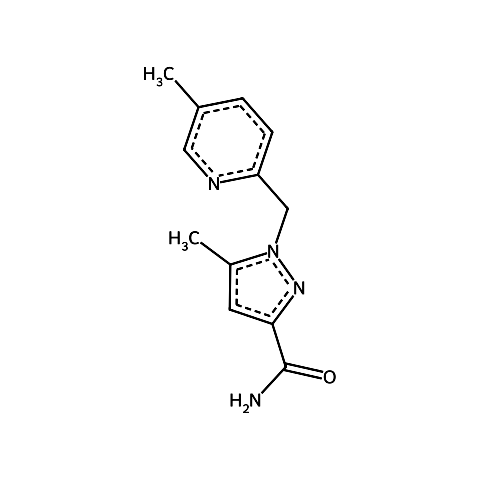 Cc1ccc(Cn2nc(C(N)=O)cc2C)nc1